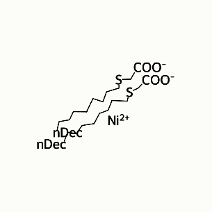 CCCCCCCCCCCCCCCCCCSCC(=O)[O-].CCCCCCCCCCCCCCCCCCSCC(=O)[O-].[Ni+2]